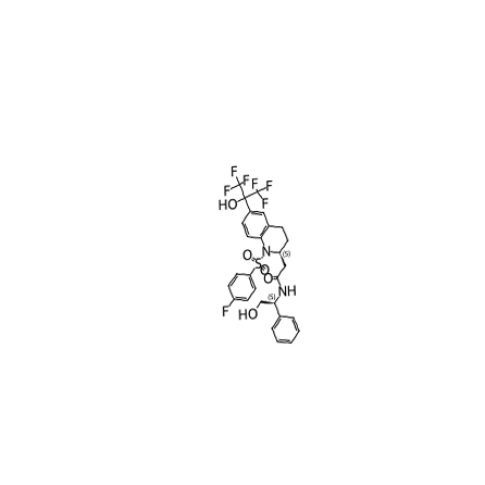 O=C(C[C@@H]1CCc2cc(C(O)(C(F)(F)F)C(F)(F)F)ccc2N1S(=O)(=O)c1ccc(F)cc1)N[C@H](CO)c1ccccc1